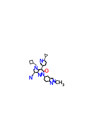 Cn1cc2cc(-n3nc4c(C#N)cn(CC5CCC5)c4c(-c4ccc(C5CC5)nc4)c3=O)ccc2n1